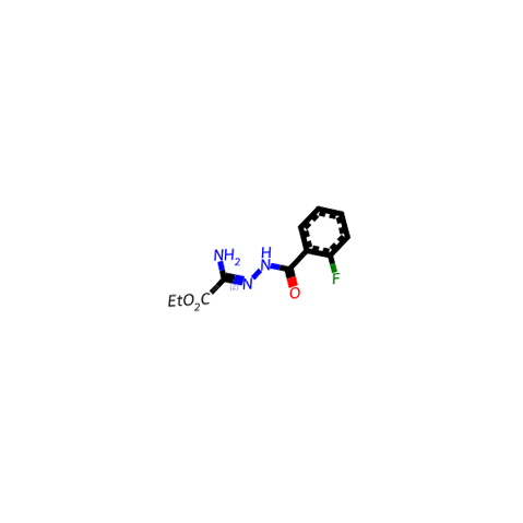 CCOC(=O)/C(N)=N/NC(=O)c1ccccc1F